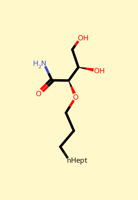 CCCCCCCCCCO[C@@H](C(N)=O)[C@H](O)CO